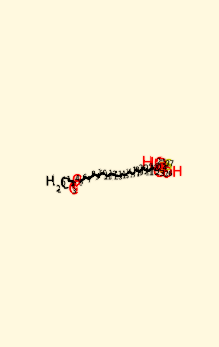 C=CC(=O)OCCCCCCCCCCCCCCCCCCOP(O)(O)=S